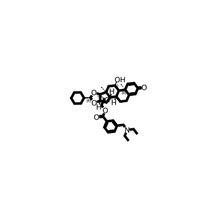 CCN(CC)Cc1cccc(C(=O)OCC(=O)[C@@]23O[C@H](C4CCCCC4)O[C@@H]2C[C@H]2[C@@H]4CCC5=CC(=O)C=C[C@]5(C)C4[C@@H](O)C[C@@]23C)c1